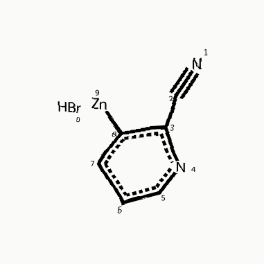 Br.N#Cc1nccc[c]1[Zn]